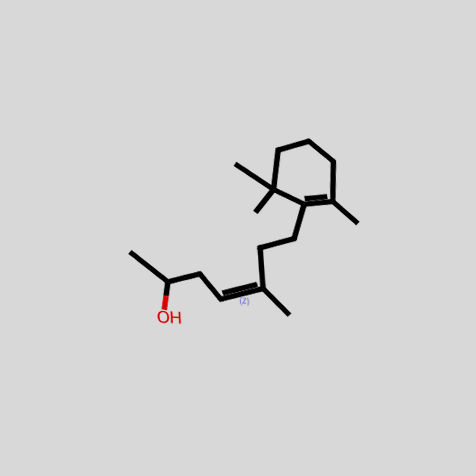 CC1=C(CC/C(C)=C\CC(C)O)C(C)(C)CCC1